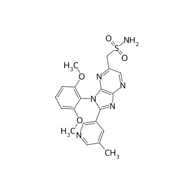 COc1cccc(OC)c1-n1c(-c2cncc(C)c2)nc2ncc(CS(N)(=O)=O)nc21